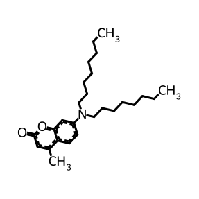 CCCCCCCCN(CCCCCCCC)c1ccc2c(C)cc(=O)oc2c1